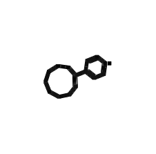 [c]1ccc(C2=CCCCCCCC2)cc1